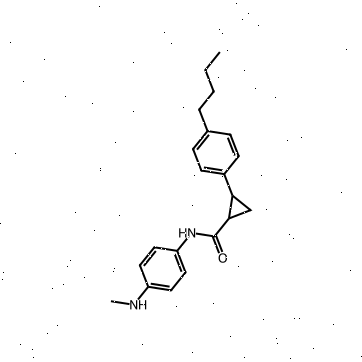 CCCCc1ccc(C2CC2C(=O)Nc2ccc(NC)cc2)cc1